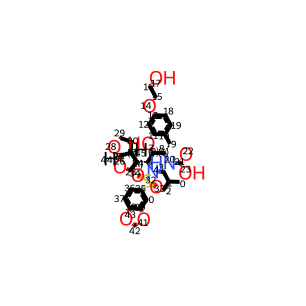 CC(C)CN(C([C@H](O)[C@H](Cc1ccc(OCCO)cc1)NC(=O)O)[C@@H]1CO[C@H]2OCC[C@H]21)S(=O)(=O)c1ccc2c(c1)OCO2